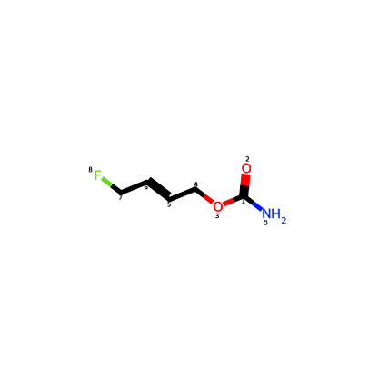 NC(=O)OCC=CCF